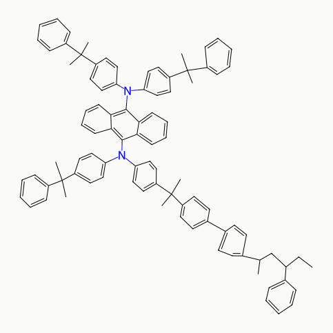 CCC(CC(C)c1ccc(-c2ccc(C(C)(C)c3ccc(N(c4ccc(C(C)(C)c5ccccc5)cc4)c4c5ccccc5c(N(c5ccc(C(C)(C)c6ccccc6)cc5)c5ccc(C(C)(C)c6ccccc6)cc5)c5ccccc45)cc3)cc2)cc1)c1ccccc1